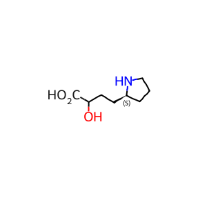 O=C(O)C(O)CC[C@@H]1CCCN1